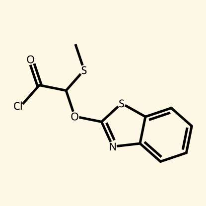 CSC(Oc1nc2ccccc2s1)C(=O)Cl